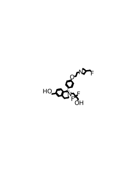 OCc1ccc2c(c1)CCN(CC(F)(F)CO)[C@H]2c1ccc(OCCN2CC(CF)C2)cc1